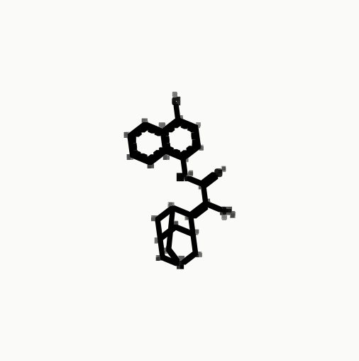 BC(C(=O)Nc1ccc(Cl)c2ccccc12)=C1C2CC3CC1CN(C3)C2